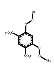 CC(C)(C)OOc1cc(OOC(C)(C)C)c(C(=O)O)cc1C(=O)O